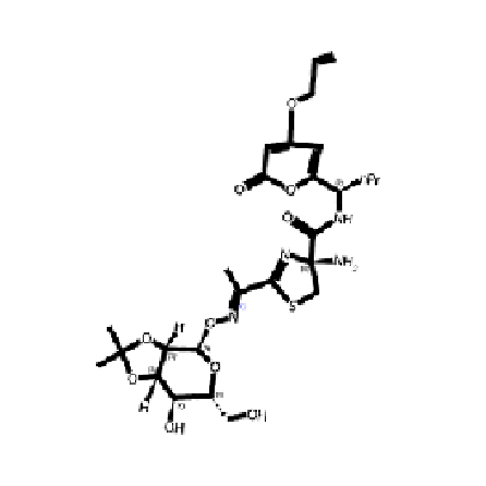 C=CCOc1cc([C@@H](CCC)NC(=O)[C@]2(N)CSC(/C(C)=N/O[C@H]3O[C@H](CO)[C@@H](O)[C@@H]4OC(C)(C)O[C@H]34)=N2)oc(=O)c1